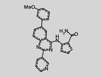 COc1cccc(-c2ccc3nc(-c4cccnc4)nc(Nc4ccsc4C(N)=O)c3c2)c1